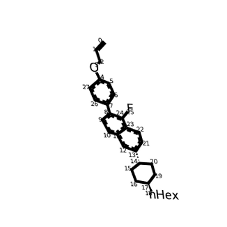 C=CCOc1ccc(-c2ccc3cc([C@H]4CC[C@H](CCCCCC)CC4)ccc3c2F)cc1